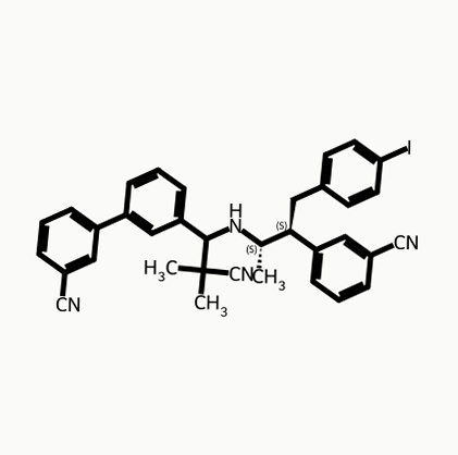 C[C@H](NC(c1cccc(-c2cccc(C#N)c2)c1)C(C)(C)C#N)[C@@H](Cc1ccc(I)cc1)c1cccc(C#N)c1